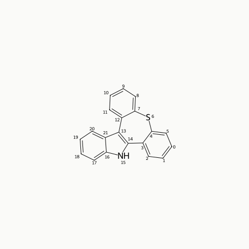 c1ccc2c(c1)Sc1ccccc1-c1c-2[nH]c2ccccc12